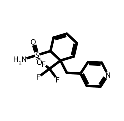 NS(=O)(=O)C1C=CC=CC1(Cc1ccncc1)C(F)(F)F